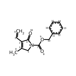 C=CC1=C(C)CN(C(=O)OCc2ccccc2)C1=O